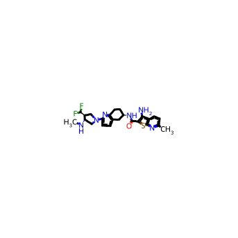 CN[C@H]1CN(c2ccc3c(n2)CC[C@H](NC(=O)c2sc4nc(C)ccc4c2N)C3)C[C@@H]1C(F)F